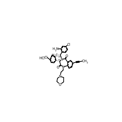 CC#Cc1ccc2c(c1)C(=O)N([C@H](C)c1ccc(Cl)cc1N)[C@@H](c1ccc(Cl)cc1)C(=O)N2CCN1CCOCC1.Cl